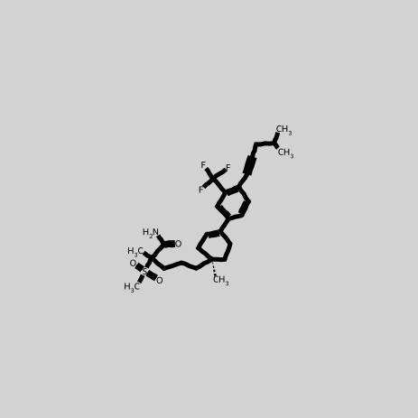 CC(C)CC#Cc1ccc(C2=CC[C@](C)(CCCC(C)(C(N)=O)S(C)(=O)=O)CC2)cc1C(F)(F)F